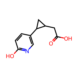 O=C(O)CC1CC1c1ccc(O)nc1